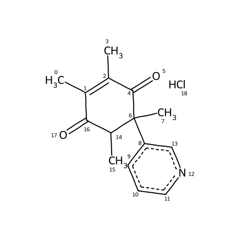 CC1=C(C)C(=O)C(C)(c2cccnc2)C(C)C1=O.Cl